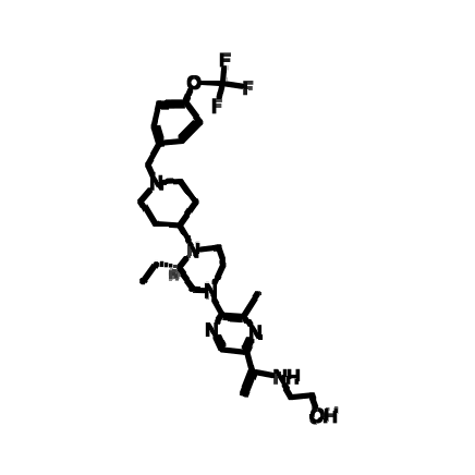 C=C(NCCO)c1cnc(N2CCN(C3CCN(Cc4ccc(OC(F)(F)F)cc4)CC3)[C@@H](CC)C2)c(C)n1